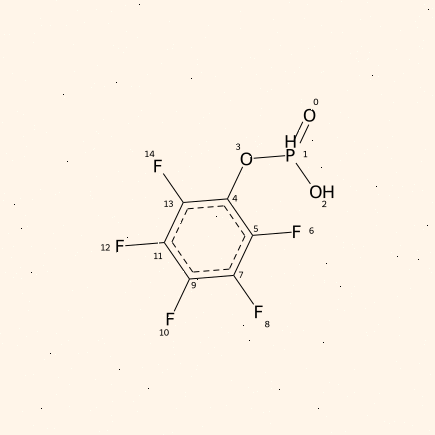 O=[PH](O)Oc1c(F)c(F)c(F)c(F)c1F